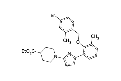 CCOC(=O)C1CCN(c2nc(-c3cccc(C)c3OCc3ccc(Br)cc3C)cs2)CC1